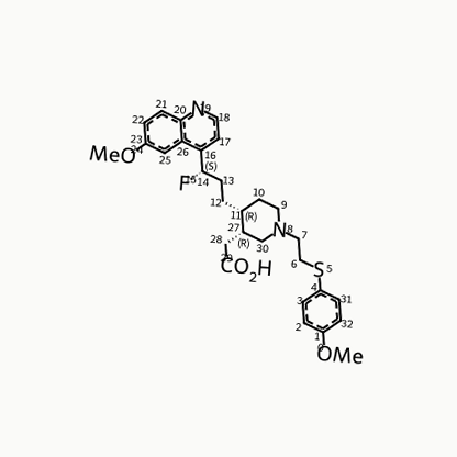 COc1ccc(SCCN2CC[C@@H](CC[C@H](F)c3ccnc4ccc(OC)cc34)[C@@H](CC(=O)O)C2)cc1